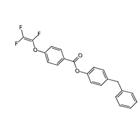 O=C(Oc1ccc(Cc2ccccc2)cc1)c1ccc(OC(F)=C(F)F)cc1